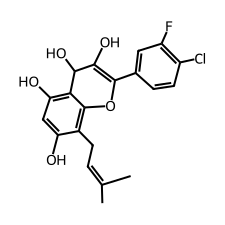 CC(C)=CCc1c(O)cc(O)c2c1OC(c1ccc(Cl)c(F)c1)=C(O)C2O